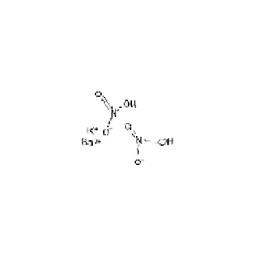 O=[N+]([O-])O.O=[N+]([O-])O.[Ba+2].[K+]